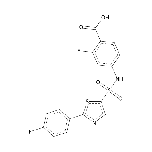 O=C(O)c1ccc(NS(=O)(=O)c2cnc(-c3ccc(F)cc3)s2)cc1F